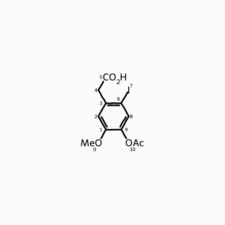 COc1cc(CC(=O)O)c(I)cc1OC(C)=O